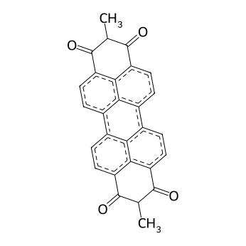 CC1C(=O)c2ccc3c4ccc5c6c(ccc(c7ccc(c2c37)C1=O)c64)C(=O)C(C)C5=O